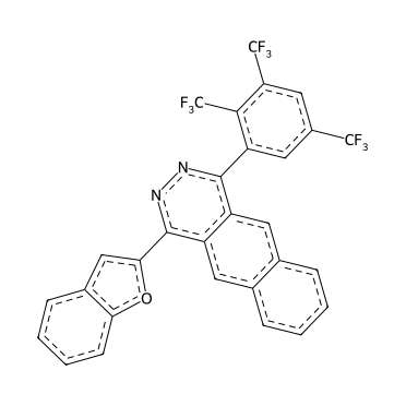 FC(F)(F)c1cc(-c2nnc(-c3cc4ccccc4o3)c3cc4ccccc4cc23)c(C(F)(F)F)c(C(F)(F)F)c1